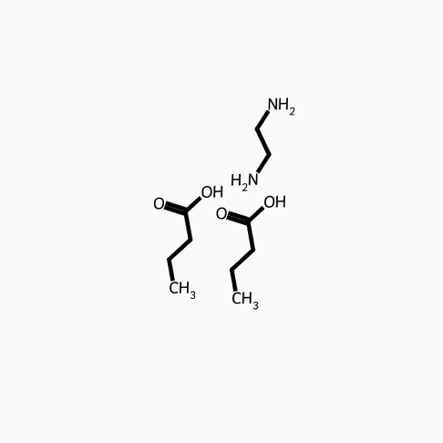 CCCC(=O)O.CCCC(=O)O.NCCN